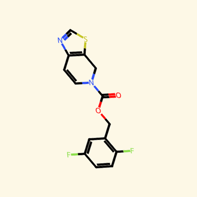 O=C(OCc1cc(F)ccc1F)N1C=Cc2ncsc2C1